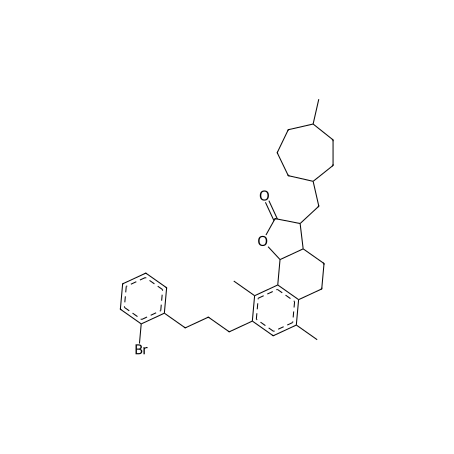 Cc1cc(CCCc2ccccc2Br)c(C)c2c1CCC1C(CC3CCCC(C)CC3)C(=O)OC21